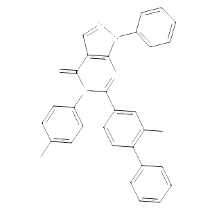 O=c1c2cnn(-c3ccccc3)c2nc(-c2ccc(-c3ccccc3)c(F)c2)n1-c1ccc(Cl)cc1